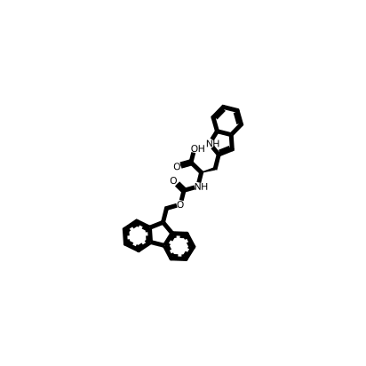 O=C(N[C@H](CC1=CC2C=CC=CC2N1)C(=O)O)OCC1c2ccccc2-c2ccccc21